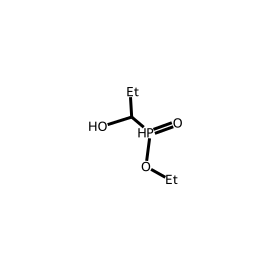 CCO[PH](=O)C(O)CC